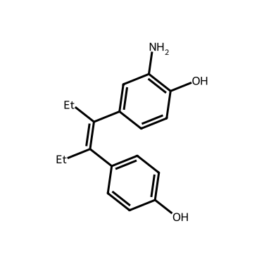 CCC(=C(CC)c1ccc(O)c(N)c1)c1ccc(O)cc1